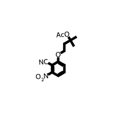 CC(=O)OC(C)(C)CCOc1cccc([N+](=O)[O-])c1C#N